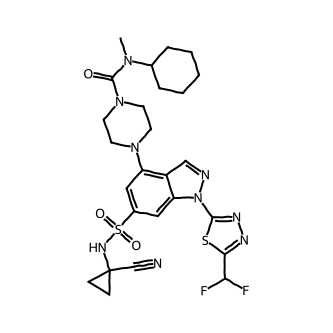 CN(C(=O)N1CCN(c2cc(S(=O)(=O)NC3(C#N)CC3)cc3c2cnn3-c2nnc(C(F)F)s2)CC1)C1CCCCC1